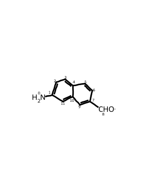 Nc1ccc2ccc([C]=O)cc2c1